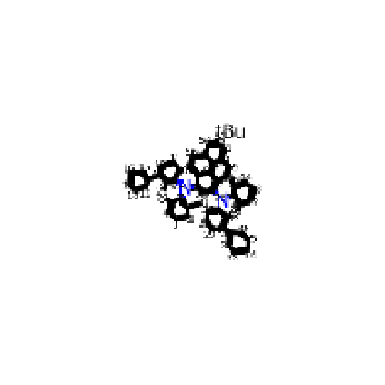 Cc1cccc(C)c1N(c1cccc(-c2ccccc2)c1C)c1cc(N(c2cccc(-c3ccccc3)c2C)c2c(C)cccc2C)c2ccc3cc(C(C)(C)C)cc4ccc1c2c43